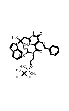 CC(C)N(CCO[Si](C)(C)C(C)(C)C)C(=O)c1nc(CC(C)(C)n2ccc3ccccc32)[nH]c(=O)c1OCc1ccccc1